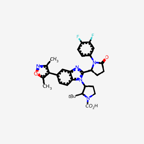 Cc1noc(C)c1-c1ccc2c(c1)nc(C1CCC(=O)N1c1ccc(F)c(F)c1)n2C1CCN(C(=O)O)C1C(C)(C)C